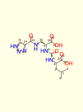 CC(C)CC(NC(=O)N[C@@H](CNC(=O)c1c[nH]nn1)C(=O)O)C(=O)O